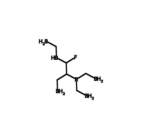 BCBC(F)C(CB)B(CB)CB